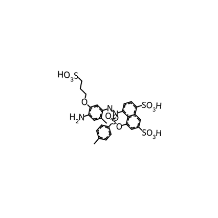 Cc1ccc(S(=O)(=O)Oc2cc(S(=O)(=O)O)cc3c(S(=O)(=O)O)ccc(N=Nc4cc(OCCCS(=O)(=O)O)c(N)cc4C)c23)cc1